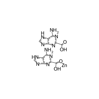 Nc1nc(C(=O)O)nc2nc[nH]c12.Nc1nc(C(=O)O)nc2nc[nH]c12.[Zn]